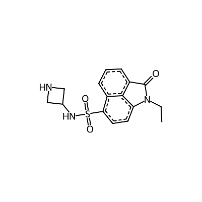 CCN1C(=O)c2cccc3c(S(=O)(=O)NC4CNC4)ccc1c23